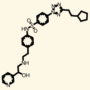 O=S(=O)(Nc1ccc(CCNCC(O)c2cccnc2)cc1)c1ccc(-n2nnc(CCC3CCCC3)n2)cc1